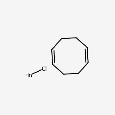 C1=C\CC/C=C\CC/1.[Cl][In]